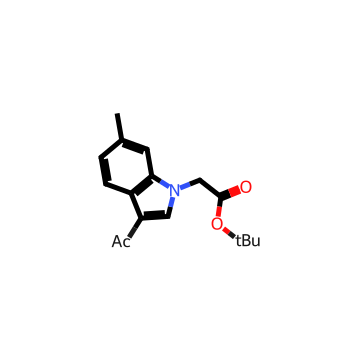 CC(=O)c1cn(CC(=O)OC(C)(C)C)c2cc(C)ccc12